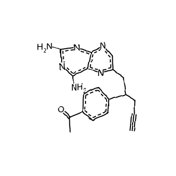 C#CCC(Cc1cnc2nc(N)nc(N)c2n1)c1ccc(C(C)=O)cc1